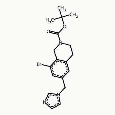 CC(C)(C)OC(=O)N1CCc2cc(Cn3ccnc3)cc(Br)c2C1